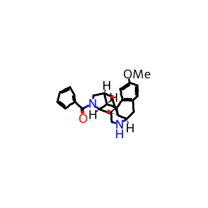 COc1ccc2c(c1)[C@]13CCN[C@H](C2)[C@]12CC[C@@H]1[C@H]3[C@@H](CN1C(=O)c1ccccc1)C2